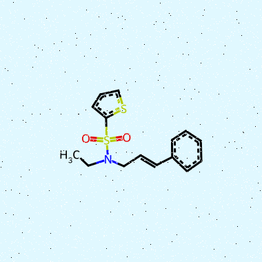 CCN(CC=Cc1ccccc1)S(=O)(=O)c1cccs1